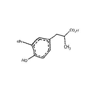 CCCc1cc(CC(C)C(=O)O)ccc1O